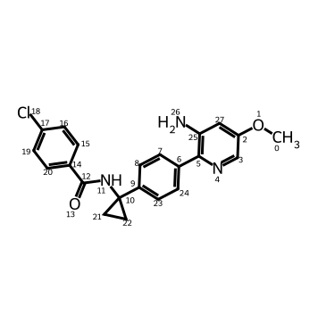 COc1cnc(-c2ccc(C3(NC(=O)c4ccc(Cl)cc4)CC3)cc2)c(N)c1